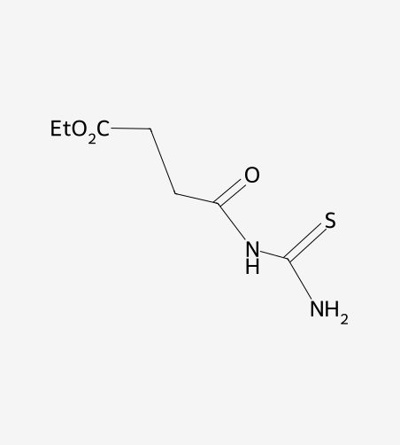 CCOC(=O)CCC(=O)NC(N)=S